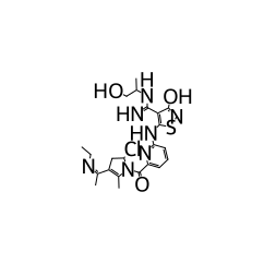 CC/N=C(/C)C1=C(C)N(C(=O)c2cccc(Nc3snc(O)c3C(=N)NC(C)CO)n2)C(Cl)C1